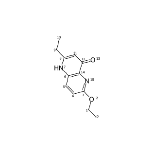 CCOc1ccc2[nH]c(CC)cc(=O)c2n1